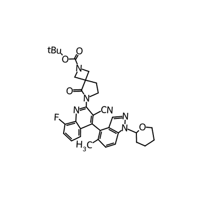 Cc1ccc2c(cnn2C2CCCCO2)c1-c1c(C#N)c(N2CCC3(CN(C(=O)OC(C)(C)C)C3)C2=O)nc2c(F)cccc12